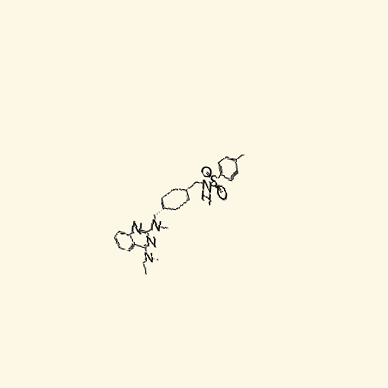 CCN(C)c1nc(N(C)C[C@H]2CC[C@H](CNS(=O)(=O)c3ccc(C)cc3)CC2)nc2ccccc12